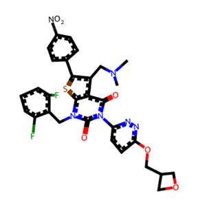 CN(C)Cc1c(-c2ccc([N+](=O)[O-])cc2)sc2c1c(=O)n(-c1ccc(OCC3COC3)nn1)c(=O)n2Cc1c(F)cccc1F